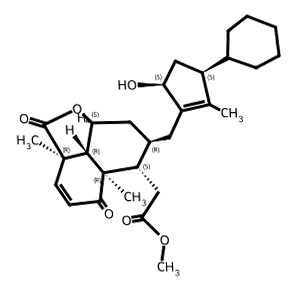 COC(=O)C[C@H]1[C@H](CC2=C(C)[C@H](C3CCCCC3)C[C@@H]2O)C[C@@H]2OC(=O)[C@]3(C)C=CC(=O)[C@@]1(C)[C@@H]23